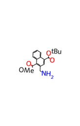 COC(=O)c1c(CN)cc(C(=O)OC(C)(C)C)c2ccccc12